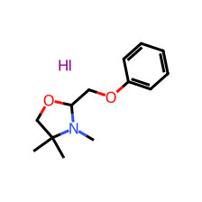 CN1C(COc2ccccc2)OCC1(C)C.I